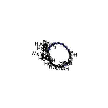 CNC(=O)NC1[C@@H]2C[C@@H](OC3OC(N)C(O)C(N)C3O)/C=C/C=C/C=C/C=C/C=C/C=C/C=C/[C@H](C)C(O)C[C@H](C)OC(=O)C/C(O)=C/C(O)CC[C@@H](O)[C@H](O)CC(O)C[C@](O)(C[C@@H]1O)O2